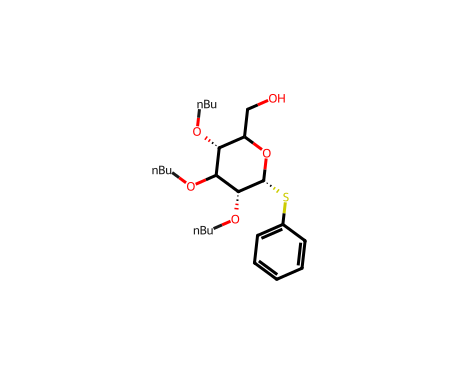 CCCCOC1[C@H](OCCCC)C(CO)O[C@H](Sc2ccccc2)[C@@H]1OCCCC